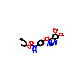 C#CCC(CC)OC(=O)Nc1ccc(Oc2ncnc3cc(OC)c(OC)cc23)cc1